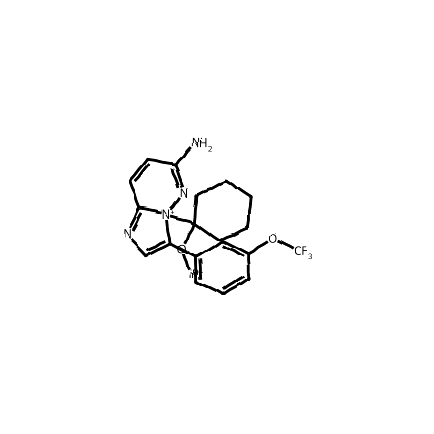 CC(C)OC1([N+]23N=C(N)C=CC2=NC=C3c2cccc(OC(F)(F)F)c2)CCCCC1